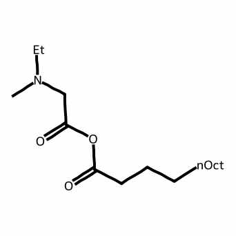 CCCCCCCCCCCC(=O)OC(=O)CN(C)CC